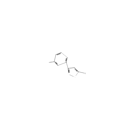 CC(C)c1cc(-c2cccc(O)c2)n[nH]1